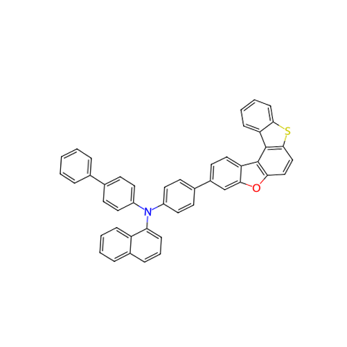 c1ccc(-c2ccc(N(c3ccc(-c4ccc5c(c4)oc4ccc6sc7ccccc7c6c45)cc3)c3cccc4ccccc34)cc2)cc1